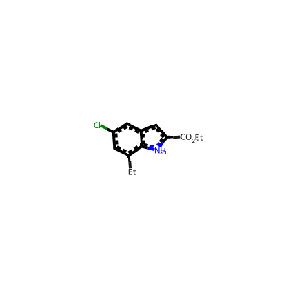 CCOC(=O)c1cc2cc(Cl)cc(CC)c2[nH]1